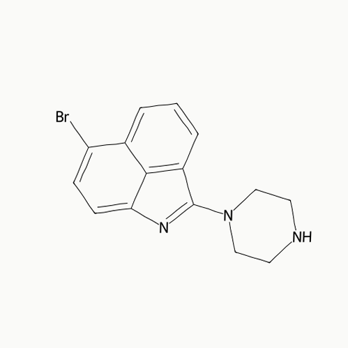 Brc1ccc2c3c(cccc13)C(N1CCNCC1)=N2